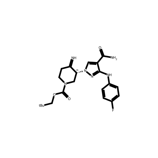 CC(C)(C)COC(=O)N1CCC(=N)[C@H](n2cc(C(N)=O)c(Nc3ccc(F)cc3)n2)C1